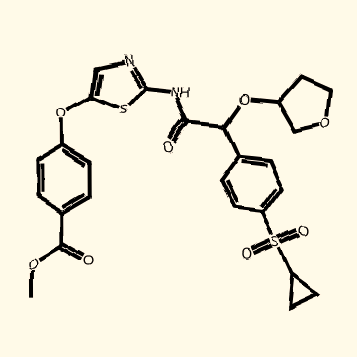 COC(=O)c1ccc(Oc2cnc(NC(=O)C(OC3CCOC3)c3ccc(S(=O)(=O)C4CC4)cc3)s2)cc1